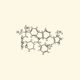 Cc1nnn(C)c1-c1cnc2c3ccc(C(C)(O)CN=[N+]=[N-])cc3n([C@H](c3ccccc3)C3CCOCC3)c2c1